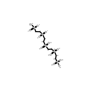 CCS(=O)(=O)CCS(=O)(=O)CCS(=O)(=O)CCS(=O)(=O)CCS([O])(=O)=O